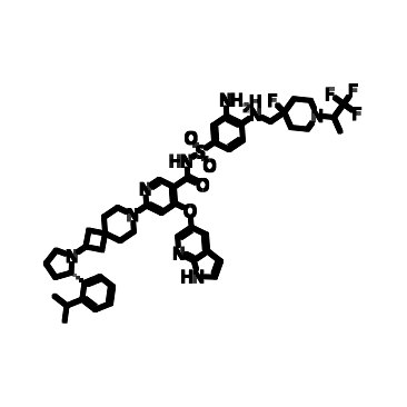 CC(C)c1ccccc1[C@@H]1CCCN1C1CC2(CCN(c3cc(Oc4cnc5[nH]ccc5c4)c(C(=O)NS(=O)(=O)c4ccc(NCC5(F)CCN(C(C)C(F)(F)F)CC5)c(N)c4)cn3)CC2)C1